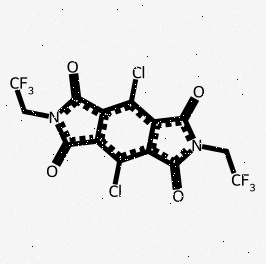 O=c1c2c(Cl)c3c(=O)n(CC(F)(F)F)c(=O)c3c(Cl)c2c(=O)n1CC(F)(F)F